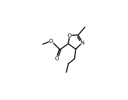 CCCC1N=C(C)OC1C(=O)OC